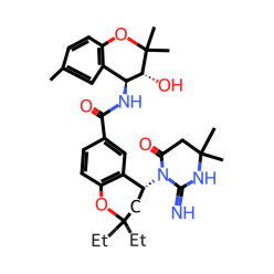 CCC1(CC)C[C@@H](N2C(=N)NC(C)(C)CC2=O)c2cc(C(=O)N[C@H]3c4cc(C)ccc4OC(C)(C)[C@@H]3O)ccc2O1